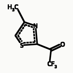 Cc1csc(C(=O)C(F)(F)F)n1